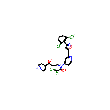 O=C(CCN(C(=O)C(Cl)Cl)c1ccnc(-c2cc(-c3c(Cl)cccc3Cl)no2)c1)C1CCNCC1